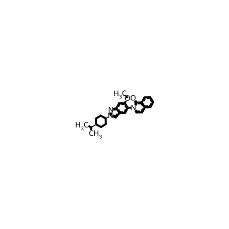 COc1cc2nn([C@H]3CC[C@H](C(C)C)CC3)cc2cc1-n1ccc2ccccc2c1=O